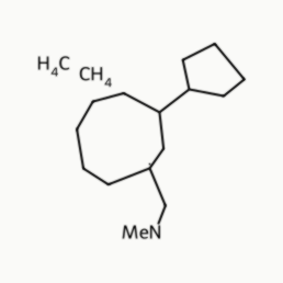 C.C.CNC[C]1CCCCCC(C2CCCC2)C1